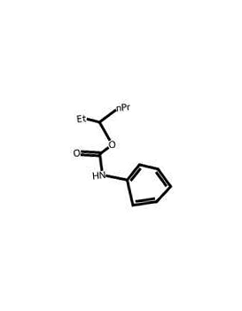 CCCC(CC)OC(=O)Nc1ccccc1